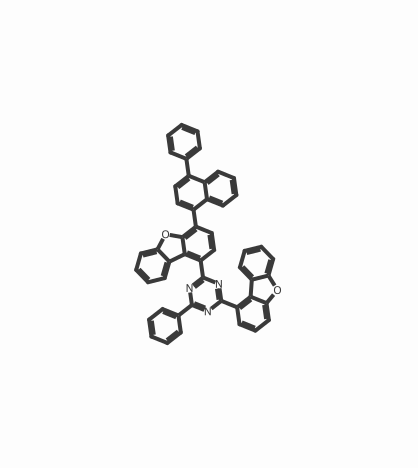 c1ccc(-c2nc(-c3cccc4oc5ccccc5c34)nc(-c3ccc(-c4ccc(-c5ccccc5)c5ccccc45)c4oc5ccccc5c34)n2)cc1